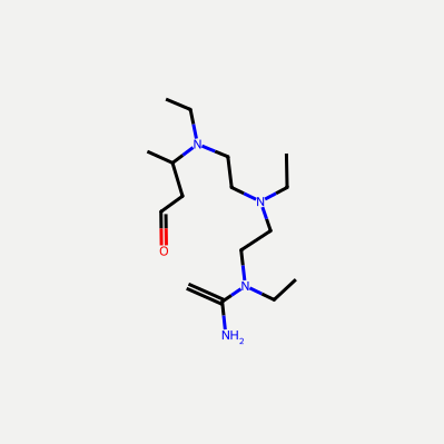 C=C(N)N(CC)CCN(CC)CCN(CC)C(C)CC=O